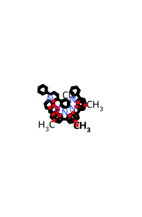 Cc1ccc2c(c1)c1cc(C)ccc1n2-c1c(-n2c3ccccc3c3ccccc32)c(C#N)c(-c2ccc(-c3ccccc3)nc2-c2ccccc2)c(-n2c3ccccc3c3ccccc32)c1-n1c2ccc(C)cc2c2cc(C)ccc21